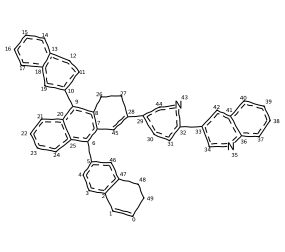 C1=Cc2ccc(-c3c4c(c(-c5ccc6ccccc6c5)c5ccccc35)CCC(c3ccc(-c5cnc6ccccc6c5)nc3)=C4)cc2CC1